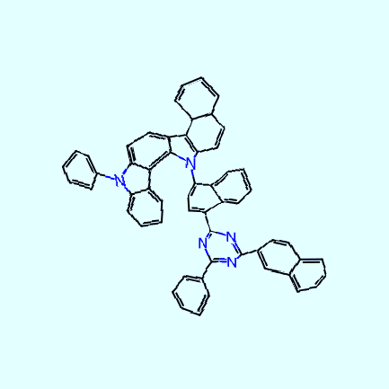 C1=CC2C=Cc3c(c4ccc5c(c6ccccc6n5-c5ccccc5)c4n3-c3ccc(-c4nc(-c5ccccc5)nc(-c5ccc6ccccc6c5)n4)c4ccccc34)C2C=C1